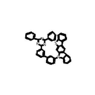 c1ccc(-c2nc(-c3ccccc3)nc(-c3cccc(-c4cccc(-n5c6ccccc6c6cc7c(cc65)sc5ccccc57)c4)c3)n2)cc1